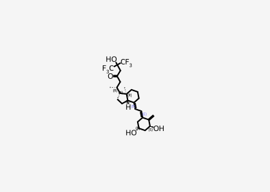 C=C1/C(=C/C=C2\CCC[C@]3(C)[C@@H]([C@H](C)CC(=O)CC(O)(C(F)(F)F)C(F)(F)F)CC[C@@H]23)C[C@@H](O)C[C@@H]1O